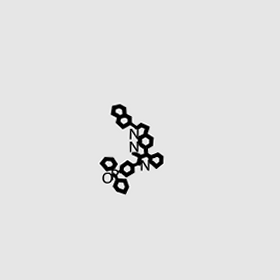 O=P(c1ccccc1)(c1ccccc1)c1ccc(-c2nc3ccccc3c3c2cnc2c3ccc3ccc(-c4ccc5ccccc5c4)nc32)cc1